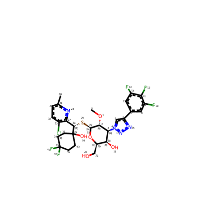 CO[C@@H]1[C@@H](n2cc(-c3cc(F)c(F)c(F)c3)nn2)[C@@H](O)[C@@H](CO)O[C@H]1S[C@@H](c1nc(C)ccc1Cl)C1(O)CCC(F)(F)CC1